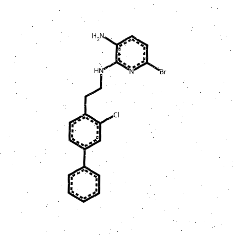 Nc1ccc(Br)nc1NCCc1ccc(-c2ccccc2)cc1Cl